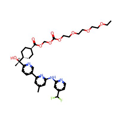 CCOCCOCCOCCOC(=O)OCOC(=O)[C@H]1CC[C@H]([C@@](C)(O)c2ccc(-c3cc(C)cc(Nc4cc(C(F)F)ccn4)n3)cn2)CC1